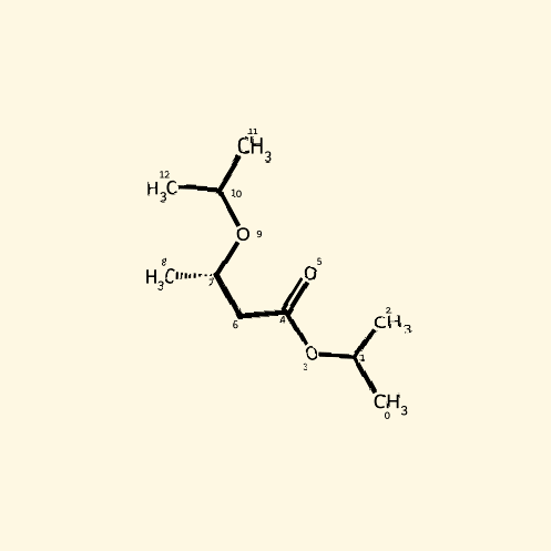 CC(C)OC(=O)C[C@H](C)OC(C)C